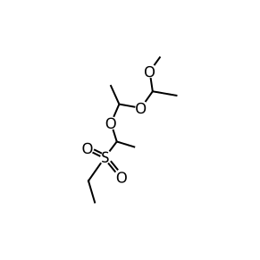 CCS(=O)(=O)C(C)OC(C)OC(C)OC